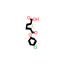 O=C(O)c1ccc(C(=O)Oc2ccc(Cl)cc2)s1